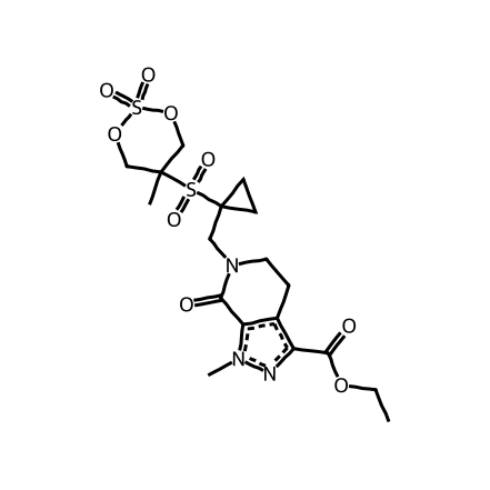 CCOC(=O)c1nn(C)c2c1CCN(CC1(S(=O)(=O)C3(C)COS(=O)(=O)OC3)CC1)C2=O